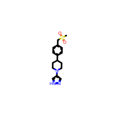 CS(=O)(=O)Cc1ccc(C2CCN(c3cn[nH]c3)CC2)cc1